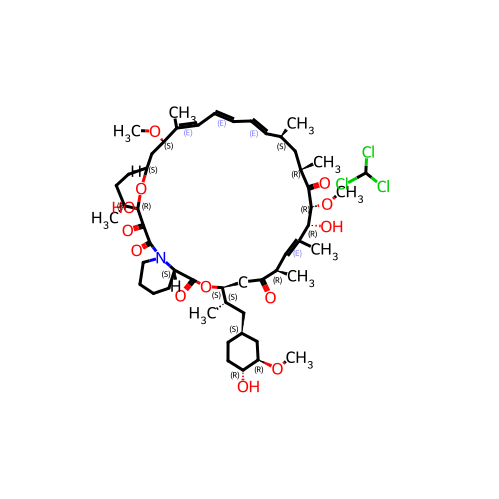 CO[C@H]1C[C@@H]2CC[C@@H](C)[C@@](O)(O2)C(=O)C(=O)N2CCCC[C@H]2C(=O)O[C@H]([C@@H](C)C[C@@H]2CC[C@@H](O)[C@H](OC)C2)CC(=O)[C@H](C)/C=C(\C)[C@@H](O)[C@@H](OC)C(=O)[C@H](C)C[C@H](C)/C=C/C=C/C=C/1C.ClC(Cl)Cl